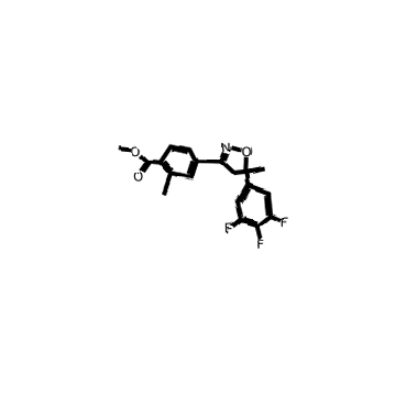 COC(=O)c1ccc(C2=NOC(C)(c3cc(F)c(F)c(F)c3)C2)cc1C